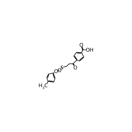 Cc1ccc(OOSCCC(=O)c2ccc(C(=O)O)cc2)cc1